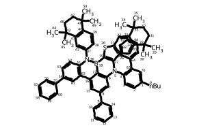 CCCCc1ccc(N2c3cc(-c4ccccc4)cc4c3B(c3sc5cc6c(cc5c32)C(C)(C)CCC6(C)C)N(c2ccc3c(c2)C(C)(C)CCC3(C)C)c2ccc(-c3ccccc3)cc2-4)c(-c2ccccc2)c1